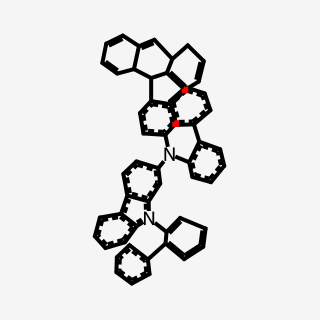 C1=C=C(c2ccccc2)C(n2c3ccccc3c3ccc(N(c4ccc5c(c4)C4=C6C(C=C7C=CC=CC7C65)CC=C4)c4ccccc4-c4ccccc4)cc32)=CC=1